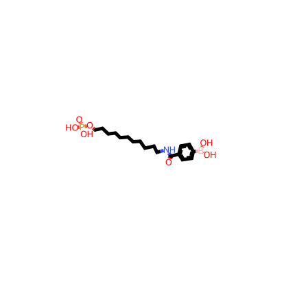 O=C(NCCCCCCCCCCCOP(=O)(O)O)c1ccc(B(O)O)cc1